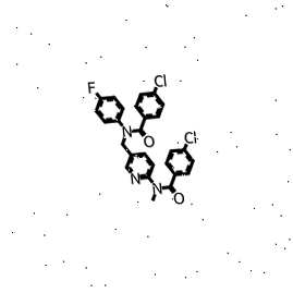 CN(C(=O)c1ccc(Cl)cc1)c1ccc(CN(C(=O)c2ccc(Cl)cc2)c2ccc(F)cc2)cn1